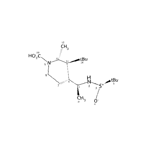 C[C@H](N[S@+]([O-])C(C)(C)C)[C@@H]1CCN(C(=O)O)[C@H](C)[C@H]1C(C)(C)C